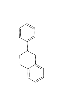 c1ccc(C2CCc3ccccc3C2)cc1